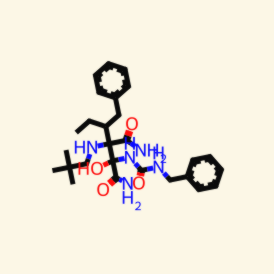 CCC(Cc1ccccc1)C(NCC(C)(C)C)(C(N)=O)C(O)(NC(=O)NCc1ccccc1)C(N)=O